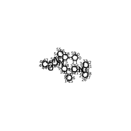 c1ccc(-c2cc(N(c3ccc(-c4ccccc4)c(-c4ccc(-n5c6ccccc6c6ccccc65)cc4)c3)c3cc4oc5ccccc5c4cn3)c3ccccc3c2)cc1